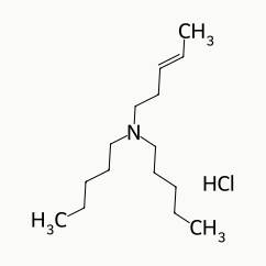 C/C=C/CCN(CCCCC)CCCCC.Cl